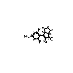 O=C1C(Br)=C(c2c(F)cc(O)cc2F)C2CCCC12